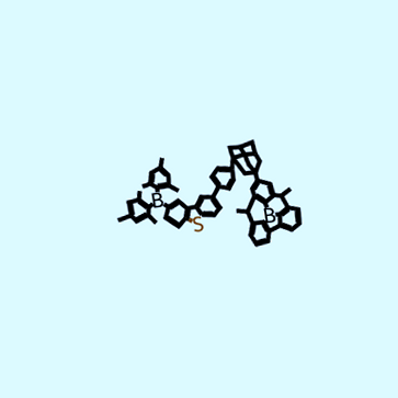 Cc1cc(C)c(B(c2ccc3sc4ccc(-c5ccc(C67CC8CC9CC(c%10cc%11c%12c(c%10)C(C)c%10cccc%13c%10B%12c%10c-%13cccc%10C%11C)(C6)CC987)cc5)cc4c3c2)c2c(C)cc(C)cc2C)c(C)c1